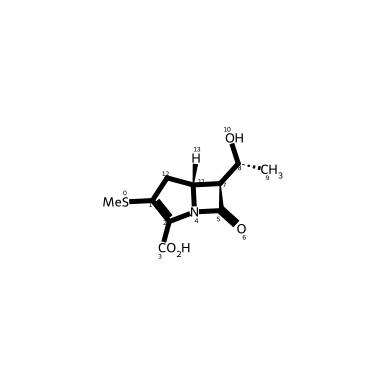 CSC1=C(C(=O)O)N2C(=O)[C@H]([C@@H](C)O)[C@H]2C1